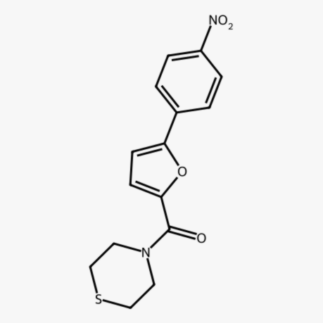 O=C(c1ccc(-c2ccc([N+](=O)[O-])cc2)o1)N1CCSCC1